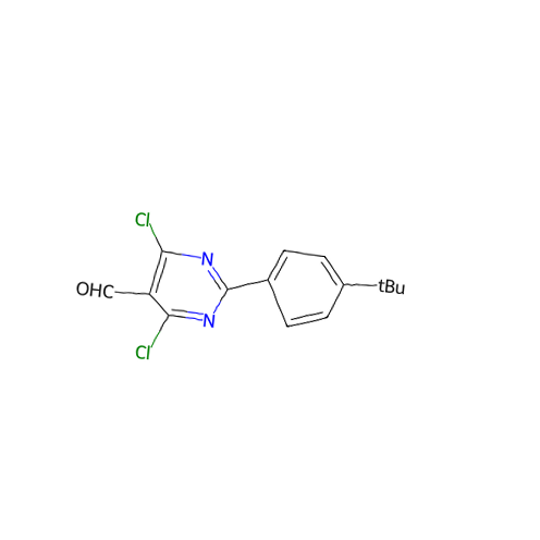 CC(C)(C)c1ccc(-c2nc(Cl)c(C=O)c(Cl)n2)cc1